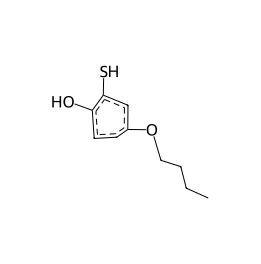 CCCCOc1ccc(O)c(S)c1